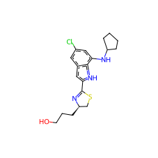 OCCC[C@@H]1CSC(c2cc3cc(Cl)cc(NC4CCCC4)c3[nH]2)=N1